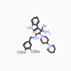 COc1ccc(CNC(=O)C(N2CCC(N3CCCCC3)CC2)C(N)(C(C)=O)c2c[nH]c3ccccc23)cc1OC